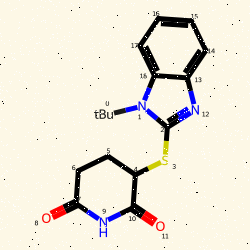 CC(C)(C)n1c(SC2CCC(=O)NC2=O)nc2ccccc21